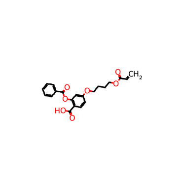 C=CC(=O)OCCCCOc1ccc(C(=O)O)c(OC(=O)c2ccccc2)c1